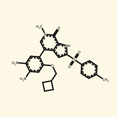 Cc1ccc(S(=O)(=O)c2cc3c(-c4cc([N+](=O)[O-])c(N)cc4OCC4CCC4)cn(C)c(=O)c3[nH]2)cc1